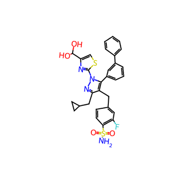 NS(=O)(=O)c1ccc(Cc2c(CC3CC3)nn(-c3nc(C(O)O)cs3)c2-c2cccc(-c3ccccc3)c2)cc1F